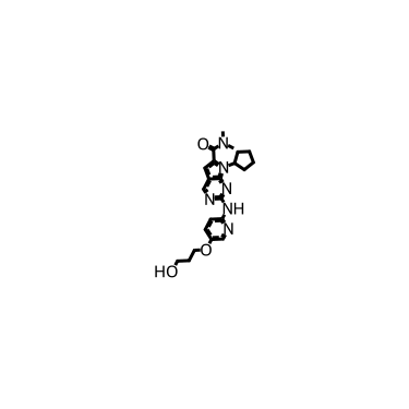 CN(C)C(=O)c1cc2cnc(Nc3ccc(OCCCO)cn3)nc2n1C1CCCC1